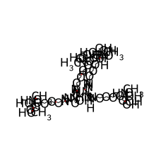 CC(=O)NC1C(OCCOCCOCCOCCN2C=C(CN(CCCC[C@@H](C(=O)O)N(Cc3cn(CCOCCOCCOCCOC4OC(CO)C(O)C(O)C4NC(C)=O)nn3)Cc3cn(CCOCCOCCOCCOC4OC5C(OC5(C)O)C(O)C4NC(C)=O)nn3)Cc3cn(CCOCCOCCOCCOC4OC(CO)C(O)C(O)C4NC(C)=O)nn3)NN2)OC(CO)C(O)C1O